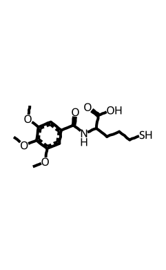 COc1cc(C(=O)NC(CCCS)C(=O)O)cc(OC)c1OC